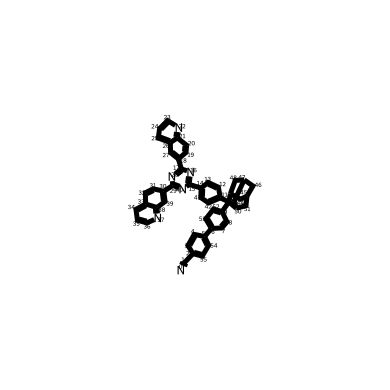 N#Cc1ccc(-c2ccc(C3(c4ccc(-c5nc(-c6ccc7ncccc7c6)nc(-c6ccc7cccnc7c6)n5)cc4)C4CC5CC(C4)CC3C5)cc2)cc1